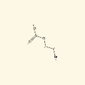 [CH2]CC(=O)OCCBr